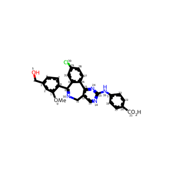 COc1cc(CO)ccc1C1=NCc2cnc(Nc3ccc(C(=O)O)cc3)nc2-c2ccc(Cl)cc21